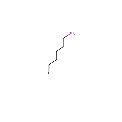 [Li][CH2]CCCCP